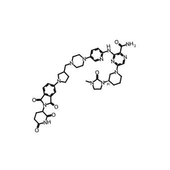 CN1CCN([C@@H]2CCCN(c3cnc(C(N)=O)c(Nc4ccc(N5CCN(CC6CCN(c7ccc8c(c7)C(=O)N(C7CCC(=O)NC7=O)C8=O)C6)CC5)cn4)n3)C2)C1=O